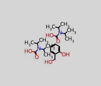 CC(C)N(C(=O)O)C(C)C.CC(C)N(C(=O)O)C(C)C.OCc1ccccc1O